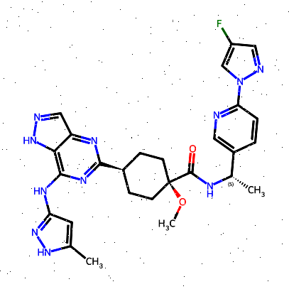 CO[C@]1(C(=O)N[C@@H](C)c2ccc(-n3cc(F)cn3)nc2)CC[C@H](c2nc(Nc3cc(C)[nH]n3)c3[nH]ncc3n2)CC1